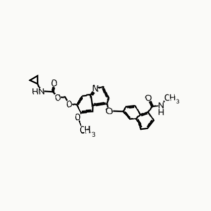 CNC(=O)c1cccc2cc(Oc3ccnc4cc(OCOC(=O)NC5CC5)c(OC)cc34)ccc12